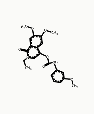 CCn1cc(OC(=O)Nc2cccc(OC)c2)c2cc(OC)c(OC)cc2c1=O